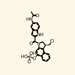 CC(=O)Nc1ccc2[nH]c(C(=O)N3C[C@@H](CCl)c4c3cc(OP(=O)(O)O)c3ccccc43)cc2c1